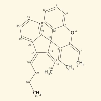 C/C=C1\C(=C/C)Oc2ccccc2C12C(=C/C)/C(=C\CCC)c1ccccc12